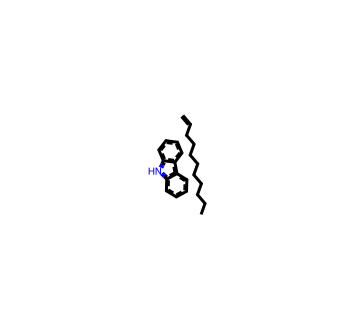 C=CCCCCCCCCC.c1ccc2c(c1)[nH]c1ccccc12